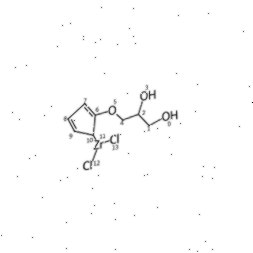 OCC(O)COC1=CC=C[CH]1[Zr]([Cl])[Cl]